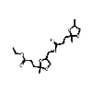 CCOC(=O)CCC1(C)OCC(COC(=O)CCC2(C)OCC(C)O2)O1